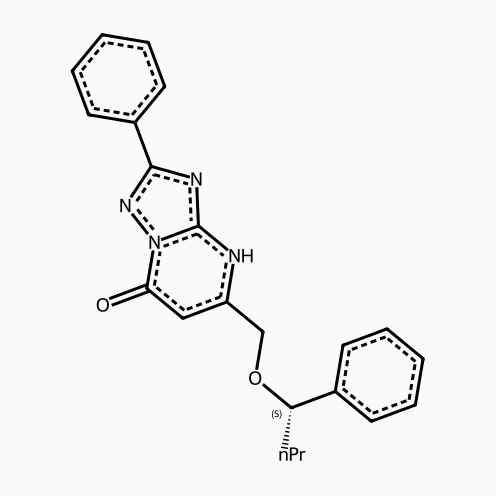 CCC[C@H](OCc1cc(=O)n2nc(-c3ccccc3)nc2[nH]1)c1ccccc1